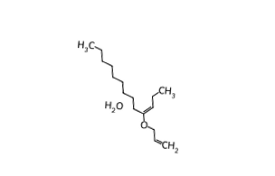 C=CCOC(=CCC)CCCCCCCCC.O